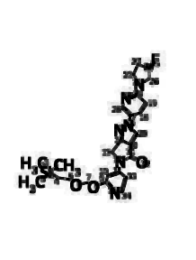 C[Si](C)(C)CCOCOc1cc(N2Cc3nn(-c4ccc(N5CC[C@@H](F)C5)nc4)cc3C2=O)ccn1